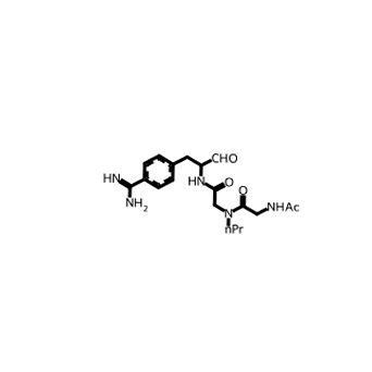 CCCN(CC(=O)NC(C=O)Cc1ccc(C(=N)N)cc1)C(=O)CNC(C)=O